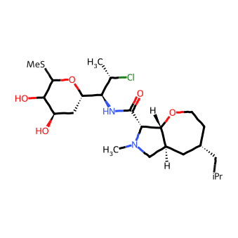 CSC1O[C@H]([C@H](NC(=O)[C@@H]2[C@@H]3OCC[C@H](CC(C)C)C[C@H]3CN2C)[C@H](C)Cl)C[C@@H](O)C1O